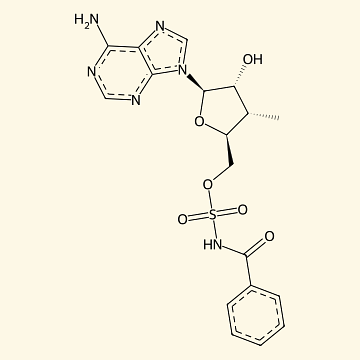 C[C@H]1[C@@H](O)[C@H](n2cnc3c(N)ncnc32)O[C@@H]1COS(=O)(=O)NC(=O)c1ccccc1